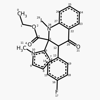 CCOC(=O)C1(c2nccn2C)C(c2ccc(F)cc2)C(=O)c2ccccc2N1I